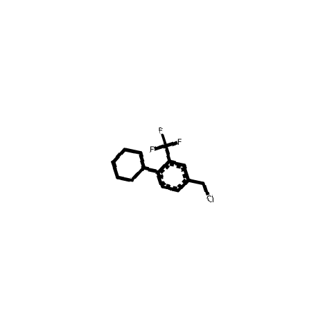 FC(F)(F)c1cc(CCl)ccc1C1CCCCC1